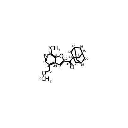 COCc1cnc(C)c2oc(C(=O)C34CC5CC(CC(C5)C3)C4)cc12